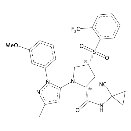 COc1cccc(-n2nc(C)cc2N2C[C@H](S(=O)(=O)c3ccccc3C(F)(F)F)C[C@@H]2C(=O)NC2(C#N)CC2)c1